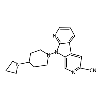 N#Cc1cc2c3cccnc3n(N3CCC(N4CCC4)CC3)c2cn1